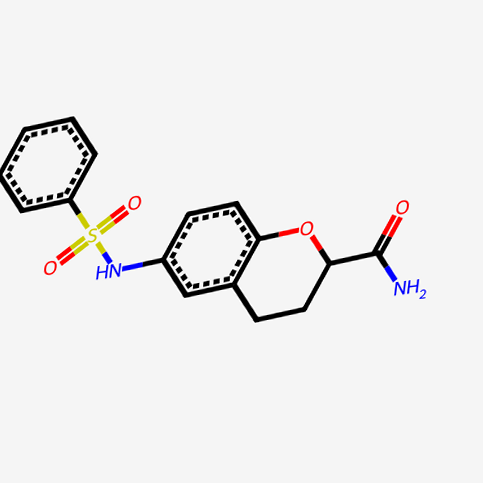 NC(=O)C1CCc2cc(NS(=O)(=O)c3ccccc3)ccc2O1